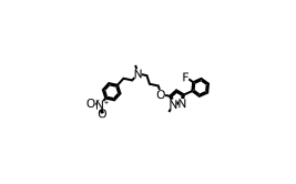 CN(CCCOc1cc(-c2ccccc2F)nn1C)CCc1ccc([N+](=O)[O-])cc1